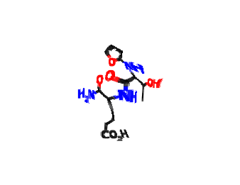 CC(O)C(Nc1ccco1)C(=O)NC(CCC(=O)O)C(N)=O